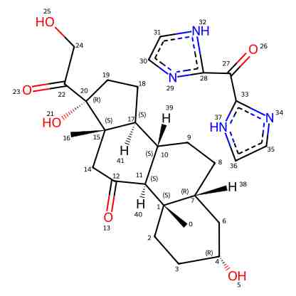 C[C@]12CC[C@@H](O)C[C@H]1CC[C@@H]1[C@@H]2C(=O)C[C@@]2(C)[C@H]1CC[C@]2(O)C(=O)CO.O=C(c1ncc[nH]1)c1ncc[nH]1